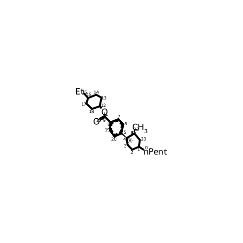 CCCCCC1CC[C@@H](c2ccc(C(=O)OC3CCC(CC)CC3)cc2)[C@H](C)C1